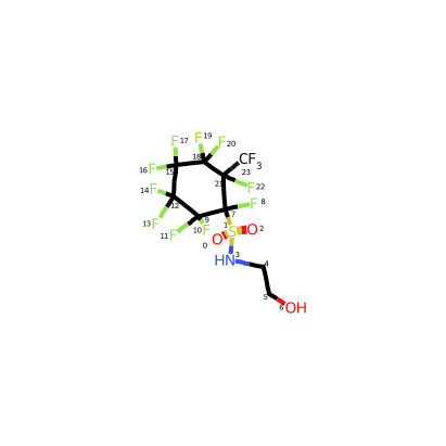 O=S(=O)(NCCO)C1(F)C(F)(F)C(F)(F)C(F)(F)C(F)(F)C1(F)C(F)(F)F